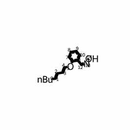 CCCC/C=C/C=C/Oc1ccccc1/C=N\O